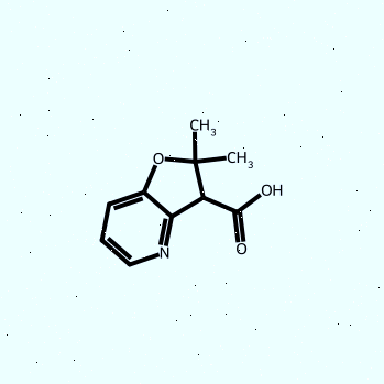 CC1(C)Oc2cccnc2C1C(=O)O